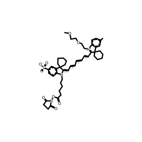 COCCOCC[N+]1=C(/C=C/C=C/C=C/C=C2/N(CCCCCC(=O)ON3C(=O)CCC3=O)c3ccc(S(=O)(=O)[O-])cc3C23CCCCC3)C2(CCCCC2)c2cc(C)ccc21